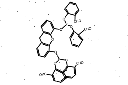 O=Cc1ccccc1OP(Oc1ccccc1C=O)Oc1cccc2c1Oc1c(cccc1OP(Oc1ccccc1C=O)Oc1ccccc1C=O)C2